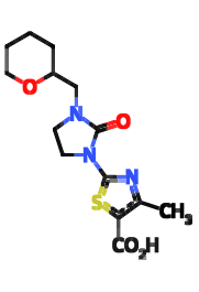 Cc1nc(N2CCN(CC3CCCCO3)C2=O)sc1C(=O)O